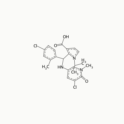 Cc1cc(Cl)ccc1C(Nc1cc(Cl)c(=O)n(C)c1)c1c(C(=O)O)ccn1C(C)C